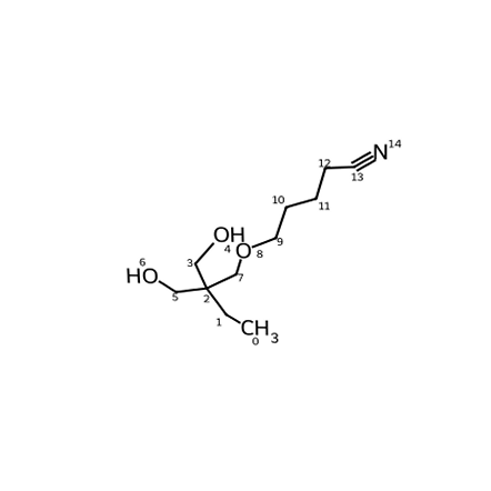 CCC(CO)(CO)COCCCCC#N